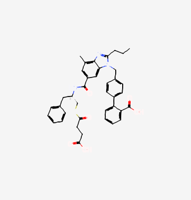 CCCc1nc2c(C)cc(C(=O)N[C@@H](CSC(=O)CCC(=O)O)Cc3ccccc3)cc2n1Cc1ccc(-c2ccccc2C(=O)O)cc1